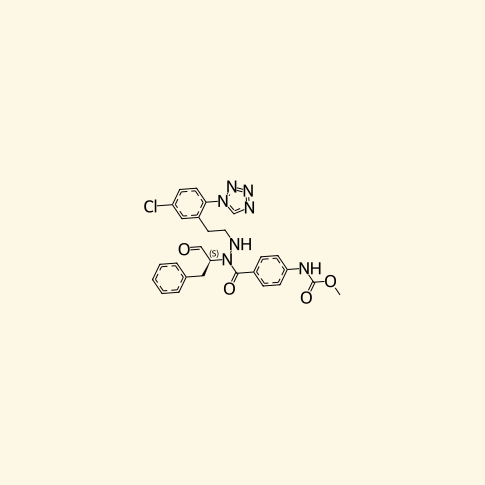 COC(=O)Nc1ccc(C(=O)N(NCCc2cc(Cl)ccc2-n2cnnn2)[C@H](C=O)Cc2ccccc2)cc1